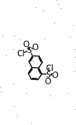 O=S(=O)(Cl)c1ccc2c(S(=O)(=O)Cl)cccc2c1